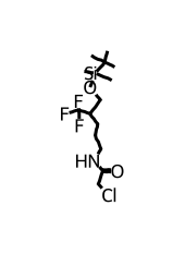 CC(C)(C)[Si](C)(C)OCC(CCCNC(=O)CCl)C(F)(F)F